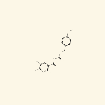 COc1ccc(CNC(=O)NC(=O)c2cc(Cl)c(Cl)nc2Cl)cc1